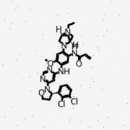 C=CC(=O)Nc1cc(Nc2cc(N3OCC[C@@H]3c3cccc(Cl)c3Cl)ncn2)c(OC)cc1N1C[C@@H]2C[C@H]1CN2CC